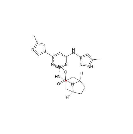 Cc1cc(Nc2cc(-c3cnn(C)c3)nc(N[C@@H]3C[C@H]4CC[C@@H](C3)N4C(=O)OC(C)(C)C)n2)n[nH]1